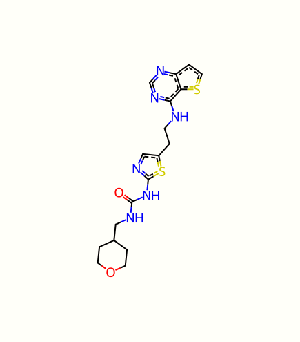 O=C(NCC1CCOCC1)Nc1ncc(CCNc2ncnc3ccsc23)s1